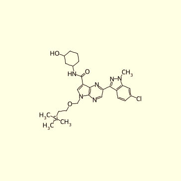 Cn1nc(-c2cnc3c(n2)c(C(=O)NC2CCCC(O)C2)cn3COCC[Si](C)(C)C)c2ccc(Cl)cc21